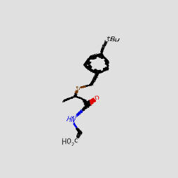 CC(SCc1ccc(C(C)(C)C)cc1)C(=O)NCC(=O)O